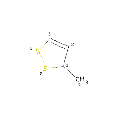 CC1C=CSS1